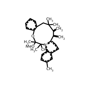 C=C1C(=C)C(C)(C)Cc2ccccc2OC(C)(OC)C(C)(C)[n+]2c1ccc1cc(C)ccc12